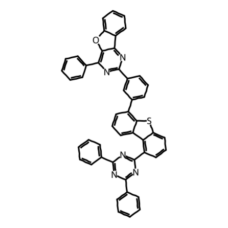 c1ccc(-c2nc(-c3ccccc3)nc(-c3cccc4sc5c(-c6cccc(-c7nc(-c8ccccc8)c8oc9ccccc9c8n7)c6)cccc5c34)n2)cc1